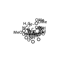 CC(=O)O[C@H]1C(=O)[C@@]2(C)[C@H]([C@H](OC(=O)c3ccccc3)[C@]3(O)C[C@H](OC(=O)[C@H](O)[C@@H](NC(=O)c4ccccc4)c4ccccc4)C(C)=C1C3(C)C)[C@]1(OC(C)=O)CO[C@@H]1C[C@@H]2O.COc1ccc(CCN(C)CCCC(C#N)(c2ccc(OC)c(OC)c2)C(C)C)cc1OC